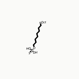 CCCCCCCCCCCCCCCCOP(O)(O)=S